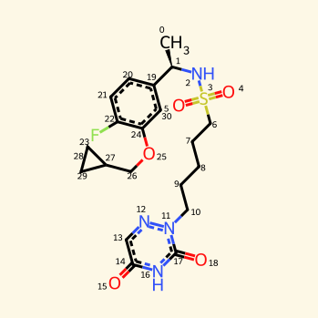 C[C@@H](NS(=O)(=O)CCCCCn1ncc(=O)[nH]c1=O)c1ccc(F)c(OCC2CC2)c1